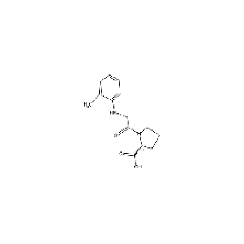 Cc1ccccc1NCC(=O)N1CCC[C@H]1C(=O)O